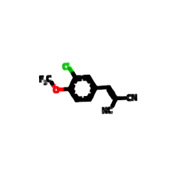 N#CC(C#N)=Cc1ccc(OC(F)(F)F)c(Cl)c1